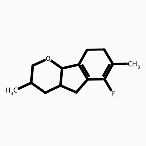 CC1=C(F)C2=C(CC1)C1OCC(C)CC1C2